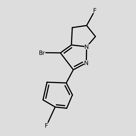 Fc1ccc(-c2nn3c(c2Br)CC(F)C3)cc1